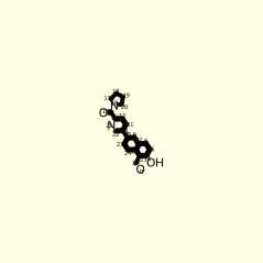 O=Cc1c(O)ccc2cc(-c3ccc(C(=O)N4CCCC4)nc3)ccc12